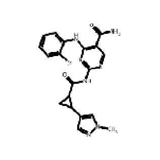 Cn1cc(C2CC2C(=O)Nc2ncc(C(N)=O)c(Nc3ccccc3Br)n2)cn1